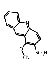 N#COc1c(S(=O)(=O)O)ccc2nc3ccccc3cc12